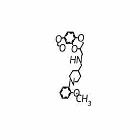 COc1ccccc1N1CCC(CNCC2COc3ccc4c(c3O2)OCO4)CC1